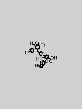 Cc1c(N2CCC(C[C@@H]3CCC(C)(C)C[C@H]3c3ccc(Cl)cc3)CC2)ccc(C(=O)O)c1Oc1cnc2[nH]ccc2c1